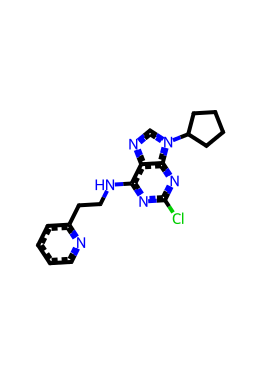 Clc1nc(NCCc2ccccn2)c2ncn(C3CCCC3)c2n1